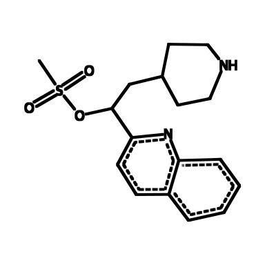 CS(=O)(=O)OC(CC1CCNCC1)c1ccc2ccccc2n1